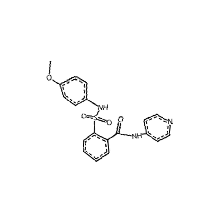 COc1ccc(NS(=O)(=O)c2ccccc2C(=O)Nc2ccncc2)cc1